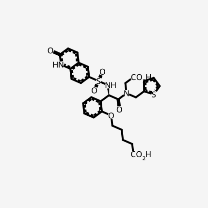 O=C(O)CCCCOc1ccccc1[C@@H](NS(=O)(=O)c1ccc2[nH]c(=O)ccc2c1)C(=O)N(CC(=O)O)Cc1cccs1